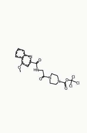 COc1cc(C(=O)NCC(=O)N2CCN(C(=O)OC(Cl)(Cl)Cl)CC2)nc2ccccc12